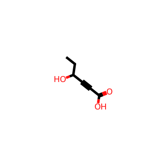 CCC(O)C#CC(=O)O